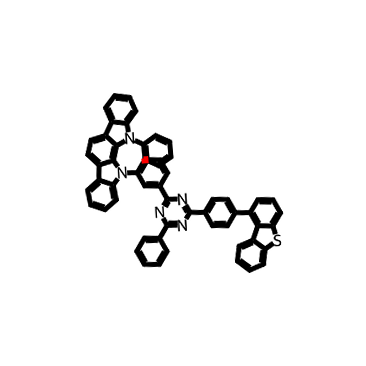 c1ccc(-c2nc(-c3ccc(-c4cccc5sc6ccccc6c45)cc3)nc(-c3cccc(-n4c5ccccc5c5ccc6c7ccccc7n(-c7ccccc7)c6c54)c3)n2)cc1